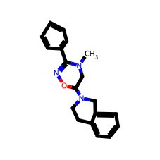 CN1CC(N2CCc3ccccc3C2)ON=C1c1ccccc1